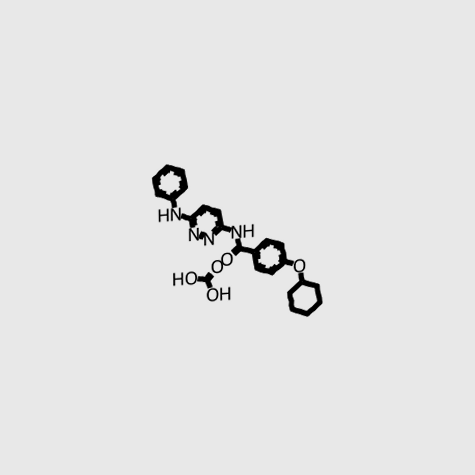 O=C(Nc1ccc(Nc2ccccc2)nn1)c1ccc(OC2CCCCC2)cc1.O=C(O)O